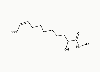 CCCCCCCC/C=C\CCCCCCC(O)C(=O)NCC